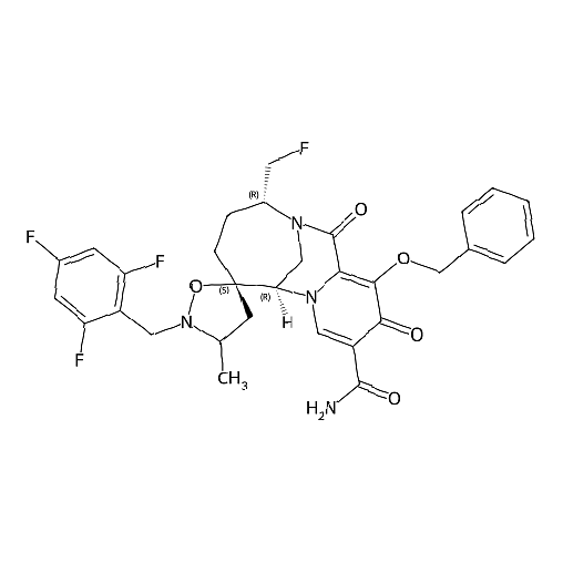 CC1C[C@]2(CC[C@H](CF)N3C[C@H]2n2cc(C(N)=O)c(=O)c(OCc4ccccc4)c2C3=O)ON1Cc1c(F)cc(F)cc1F